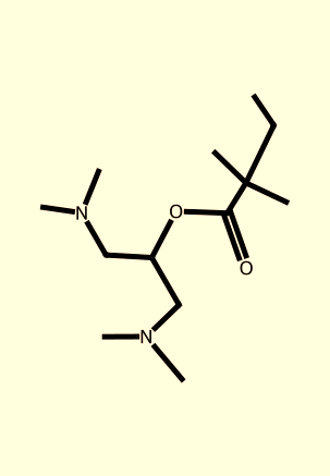 CCC(C)(C)C(=O)OC(CN(C)C)CN(C)C